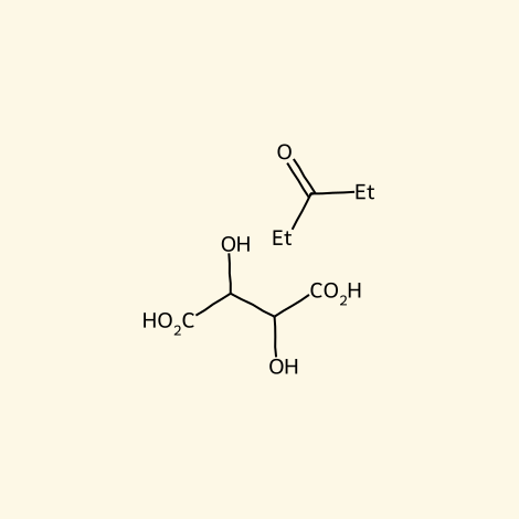 CCC(=O)CC.O=C(O)C(O)C(O)C(=O)O